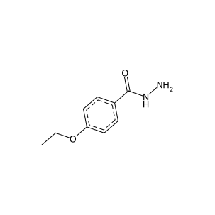 CCOc1ccc(C(=O)NN)cc1